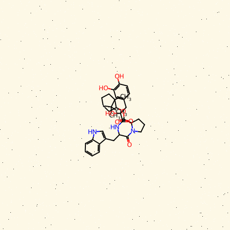 CC1(C)C2CCC1(C)C(OC(=O)C1CCCN1C(=O)C(Cc1c[nH]c3ccccc13)NC(=O)C(O)Cc1ccc(O)c(O)c1)C2